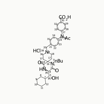 CCCCN1C(=O)[C@@H]([C@H](O)C2CCCCC2)NC(=O)C12CCN(Cc1ccc(N(C(C)=O)c3ccc(C(=O)O)cc3)cc1)CC2.Cl